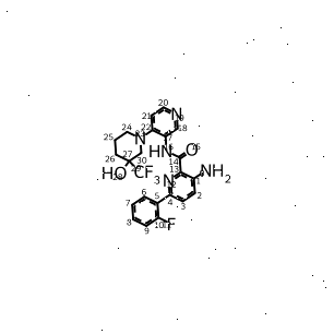 Nc1ccc(-c2ccccc2F)nc1C(=O)Nc1cnccc1N1CCCC(O)(C(F)(F)F)C1